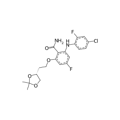 CC1(C)OC[C@@H](CCOc2cc(F)cc(Nc3ccc(Cl)cc3F)c2C(N)=O)O1